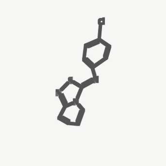 Clc1ccc(/N=c2\snc3ccccn23)cc1